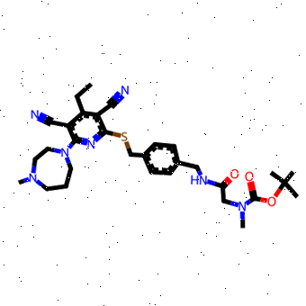 CCc1c(C#N)c(SCc2ccc(CNC(=O)CN(C)C(=O)OC(C)(C)C)cc2)nc(N2CCCN(C)CC2)c1C#N